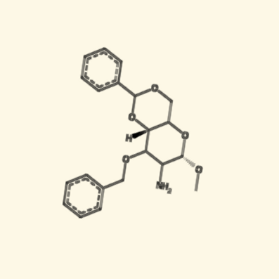 CO[C@H]1OC2COC(c3ccccc3)O[C@H]2C(OCc2ccccc2)C1N